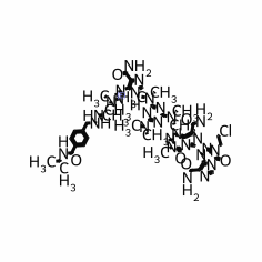 CN(C)/N=N/c1[nH]cnc1C(N)=O.CN(C)c1nc(N(C)C)nc(N(C)C)n1.CNNCc1ccc(C(=O)NC(C)C)cc1.Cn1nnc2c(C(N)=O)ncn2c1=O.NC(=O)c1ncn2c(=O)n(CCCl)nnc12